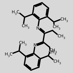 CCC(=Nc1c(C(C)C)cccc1C(C)C)C(CC)=Nc1c(C(C)C)cccc1C(C)C